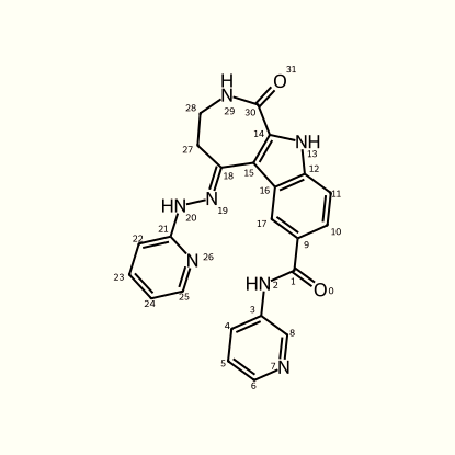 O=C(Nc1cccnc1)c1ccc2[nH]c3c(c2c1)C(=NNc1ccccn1)CCNC3=O